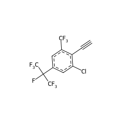 C#Cc1c(Cl)cc(C(F)(C(F)(F)F)C(F)(F)F)cc1C(F)(F)F